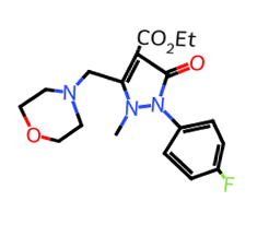 CCOC(=O)c1c(CN2CCOCC2)n(C)n(-c2ccc(F)cc2)c1=O